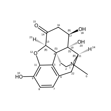 CN1CC[C@]23c4c5ccc(O)c4O[C@H]2C(=O)C[C@@H](O)[C@@]3(O)[C@H]1C5